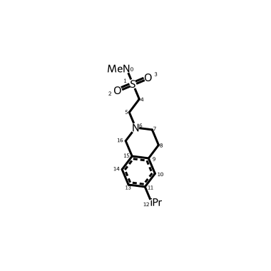 CNS(=O)(=O)CCN1CCc2cc(C(C)C)ccc2C1